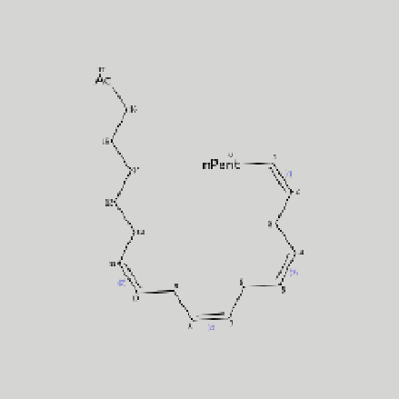 CCCCC/C=C\C/C=C\C/C=C\C/C=C\CCCCCC(C)=O